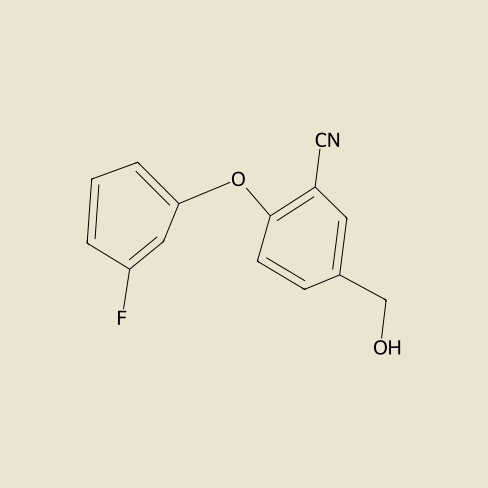 N#Cc1cc(CO)ccc1Oc1cccc(F)c1